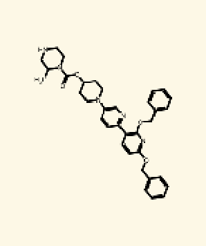 CC1CNCCN1C(=O)OC1CCN(c2ccc(-c3ccc(OCc4ccccc4)nc3OCc3ccccc3)nc2)CC1